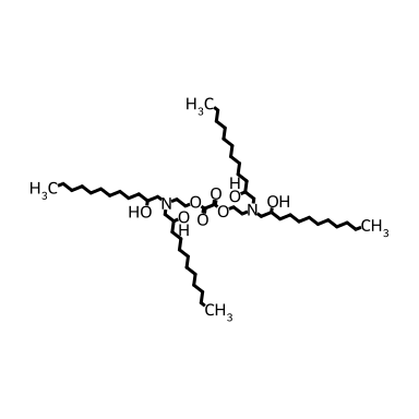 CCCCCCCCCCC(O)CN(CCOC(=O)C(=O)OCCN(CC(O)CCCCCCCCCC)CC(O)CCCCCCCCCC)CC(O)CCCCCCCCCC